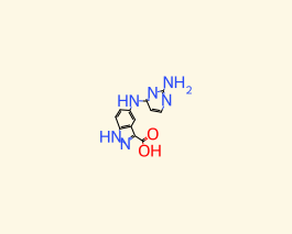 Nc1nccc(Nc2ccc3[nH]nc(C(=O)O)c3c2)n1